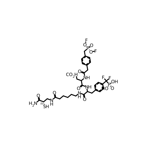 NC(=O)[C@@H](S)CNC(=O)CCCCCNC(=O)C(Cc1ccc(C(F)(F)P(=O)(O)O)cc1)NC(=O)C(CC(=O)O)NC(=O)Cc1ccc(CP(=O)(OF)OF)cc1